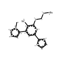 CCCCSCSc1nc(-c2nccs2)cc(-c2cnnn2C)c1C#N